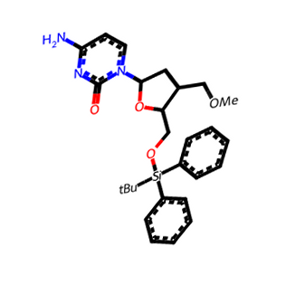 COCC1CC(n2ccc(N)nc2=O)OC1CO[Si](c1ccccc1)(c1ccccc1)C(C)(C)C